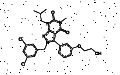 CC(C)Cn1c(=O)n(C)c(=O)c2c(-c3cccc(OCCO)c3)n(Cc3cc(Cl)cc(Cl)c3)nc21